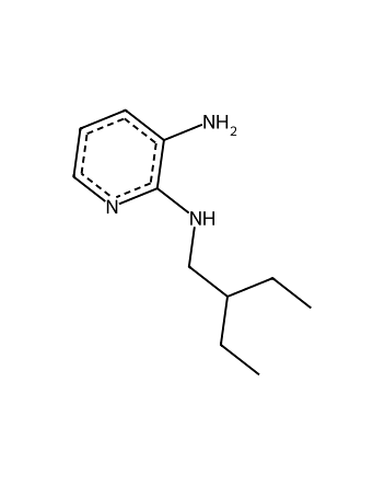 CCC(CC)CNc1ncccc1N